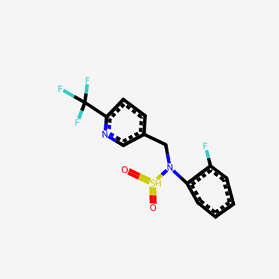 O=[SH](=O)N(Cc1ccc(C(F)(F)F)nc1)c1ccccc1F